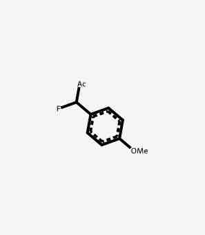 COc1ccc(C(F)C(C)=O)cc1